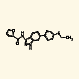 CCSc1ccc(-c2ccc3c(NC(=O)c4ccco4)n[nH]c3c2)cc1